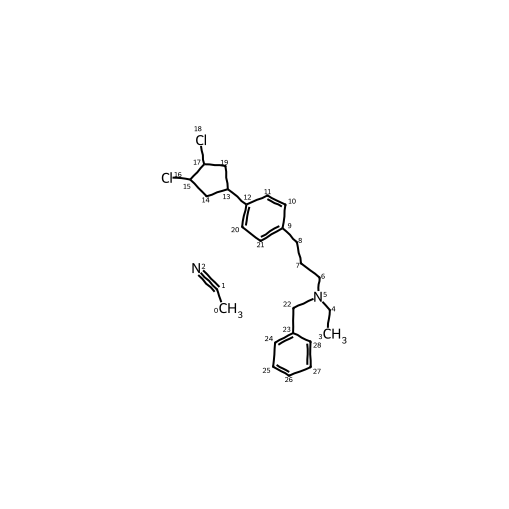 CC#N.CCN(CCCc1ccc(C2CC(Cl)C(Cl)C2)cc1)Cc1ccccc1